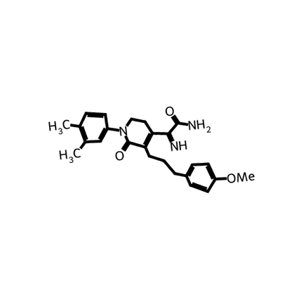 COc1ccc(CCCC2=C(C(=N)C(N)=O)CCN(c3ccc(C)c(C)c3)C2=O)cc1